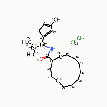 CC1=CC[C]([Ti+2]([NH]C(=O)C2CCCCCCCCCCC2)[SiH](C)C)=C1.[Cl-].[Cl-]